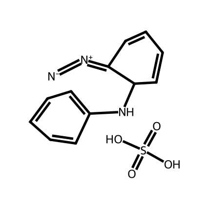 O=S(=O)(O)O.[N-]=[N+]=C1C=CC=CC1Nc1ccccc1